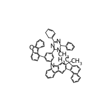 CN1C(c2cc(-c3cccc4oc5ccccc5c34)cc(-n3c4ccccc4c4cc5c(cc43)C(C)(C)c3ccc4ccccc4c3-5)c2)=NC(C2=CC=CCC2)=NC1c1ccccc1